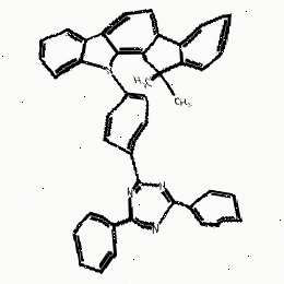 CC1(C)c2ccccc2-c2ccc3c4ccccc4n(-c4ccc(-c5nc(-c6ccccc6)nc(-c6ccccc6)n5)cc4)c3c21